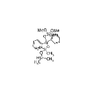 CO[Si](OC)(OC)O[Si](O[Si](C)(C)O[SiH](C)C)(c1ccccc1)c1ccccc1